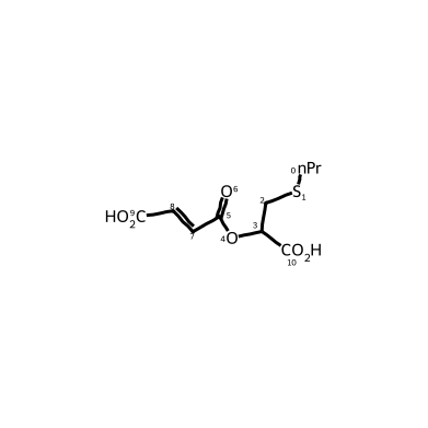 CCCSCC(OC(=O)/C=C/C(=O)O)C(=O)O